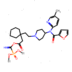 CCOP(=O)(OCC)C(=N)OC(=O)CC1(CCN2CCC(N(C(=O)c3ccco3)c3ccc(C)cn3)CC2)CCCCC1